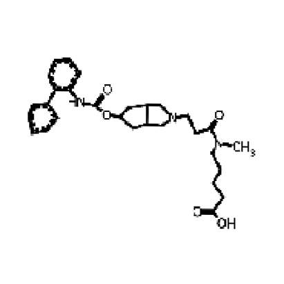 CN(CCCCC(=O)O)C(=O)CCN1CC2CC(OC(=O)Nc3ccccc3-c3ccccc3)CC2C1